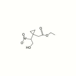 CCOC(=O)CC1(C(CO)[N+](=O)[O-])CC1